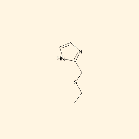 CCSCc1ncc[nH]1